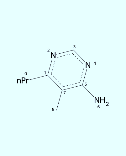 CCCc1ncnc(N)c1C